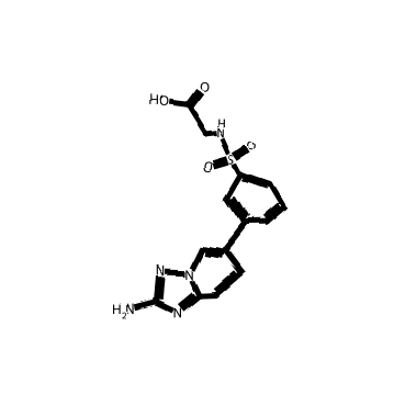 Nc1nc2ccc(-c3cccc(S(=O)(=O)NCC(=O)O)c3)cn2n1